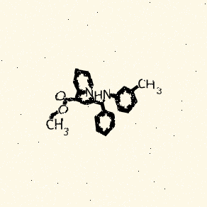 CCOC(=O)c1cc([C@@H](Nc2cccc(C)c2)c2ccccc2)n2ccccc12